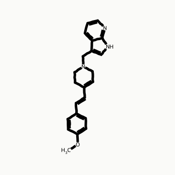 COc1ccc(/C=C/C2=CCN(Cc3c[nH]c4ncccc34)CC2)cc1